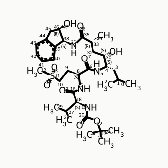 CC(C)C[C@H](NC(=O)[C@H](CCS(C)(=O)=O)NC(=O)[C@@H](NC(=O)OC(C)(C)C)C(C)C)[C@@H](O)C[C@@H](C)C(=O)N[C@H]1c2ccccc2C[C@H]1O